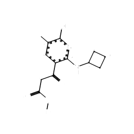 CC(C)(C)OC(=O)CC(=O)c1cc(F)c(O)nc1NC1CCC1